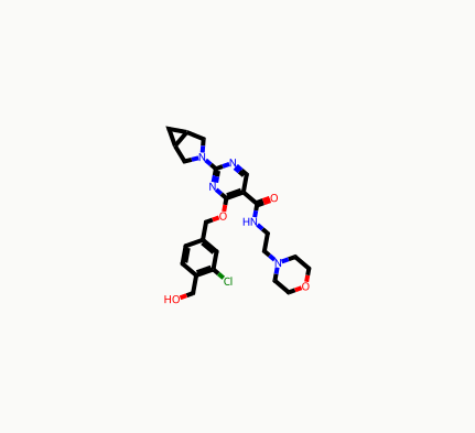 O=C(NCCN1CCOCC1)c1cnc(N2CC3CC3C2)nc1OCc1ccc(CO)c(Cl)c1